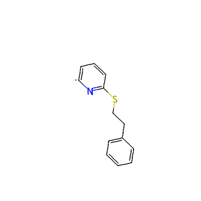 [c]1cccc(SCCc2ccccc2)n1